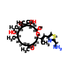 C/C(=C\c1csc(CN)n1)[C@@H]1CC2O[C@]2(C)CCC[C@H](C)[C@H](O)[C@@H](C)C(=O)C(C)(C)[C@@H](O)CC(=O)O1